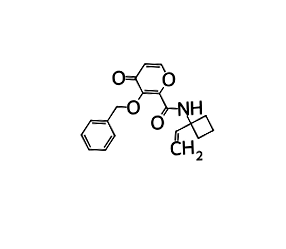 C=CC1(NC(=O)c2occc(=O)c2OCc2ccccc2)CCC1